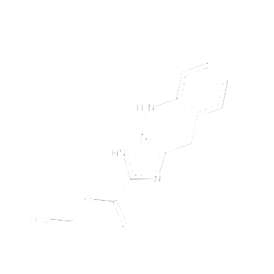 CCOC(=O)c1nc(Cc2ccccc2N)n[nH]1